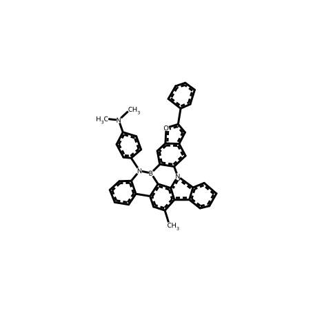 Cc1cc2c3c4c1c1ccccc1n4-c1cc4cc(-c5ccccc5)oc4cc1B3N(c1ccc(N(C)C)cc1)c1ccccc1-2